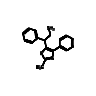 Cc1nc(-c2ccccc2)c(C(CN)c2ccccc2)s1